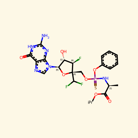 CC(C)OC(=O)[C@H](C)NP(=S)(OC[C@@]1(C(F)F)O[C@@H](n2cnc3c(=O)[nH]c(N)nc32)[C@H](O)[C@H]1F)Oc1ccccc1